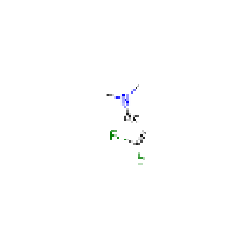 C=C(F)F.CC(=O)N(C)C